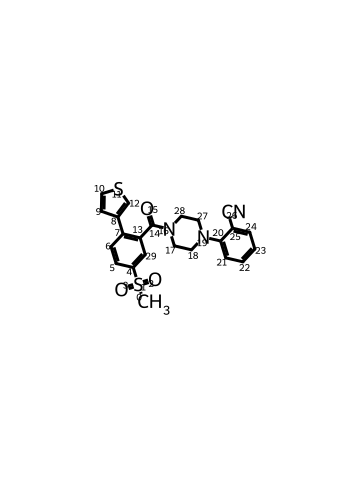 CS(=O)(=O)c1ccc(-c2ccsc2)c(C(=O)N2CCN(c3ccccc3C#N)CC2)c1